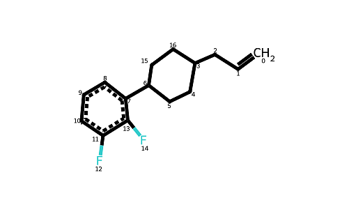 C=CCC1CCC(c2cc[c]c(F)c2F)CC1